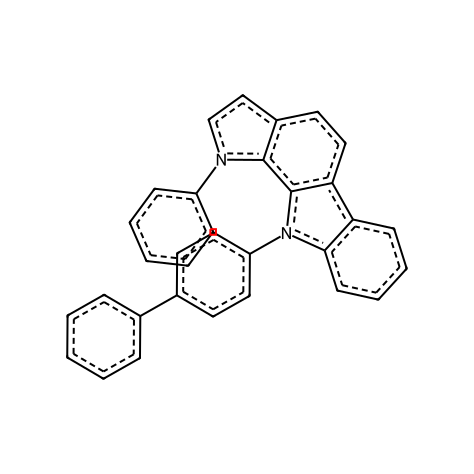 c1ccc(-c2ccc(-n3c4ccccc4c4ccc5ccn(-c6ccccc6)c5c43)cc2)cc1